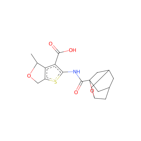 CC1OCc2sc(NC(=O)C34CC5CC(CC(C5)O3)C4)c(C(=O)O)c21